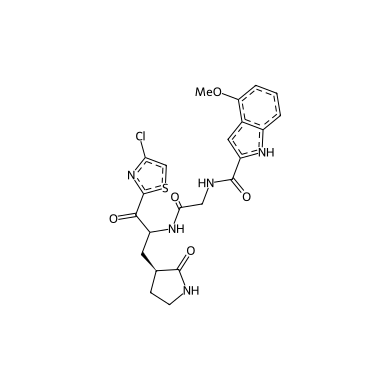 COc1cccc2[nH]c(C(=O)NCC(=O)NC(C[C@@H]3CCNC3=O)C(=O)c3nc(Cl)cs3)cc12